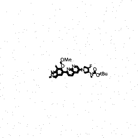 COCOc1c(-c2ccc3cc(N4C[C@@H](F)[C@H](N(C)C(=O)OC(C)(C)C)C4)cnc3n2)cc2cn(C)nc2c1C